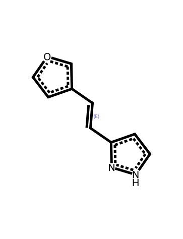 C(=C\c1cc[nH]n1)/c1ccoc1